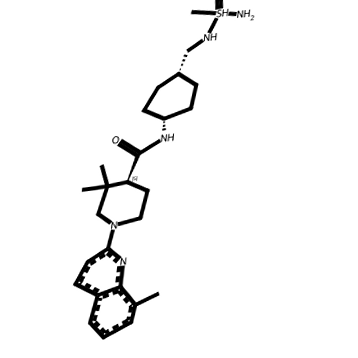 Cc1cccc2ccc(N3CC[C@H](C(=O)N[C@H]4CC[C@@H](CN[SH](C)(N)=O)CC4)C(C)(C)C3)nc12